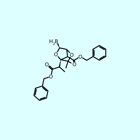 B[C@@H]1O[C@]2(C(C)C(=O)OCc3ccccc3)C(C(=O)OCc3ccccc3)C1OC2(C)C